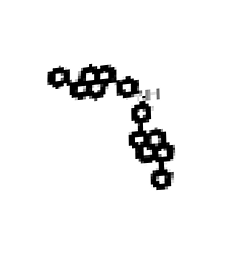 c1ccc(-c2ccc3ccc4c(-c5ccc(Nc6ccc(-c7ccc8ccc9c(-c%10ccccc%10)ccc%10ccc7c8c%109)cc6)cc5)ccc5ccc2c3c54)cc1